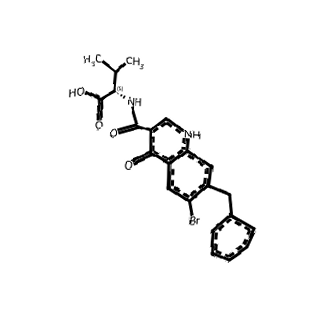 CC(C)[C@H](NC(=O)c1c[nH]c2cc(Cc3ccccc3)c(Br)cc2c1=O)C(=O)O